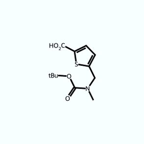 CN(Cc1ccc(C(=O)O)s1)C(=O)OC(C)(C)C